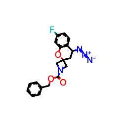 [N-]=[N+]=NC1CC2(CN(C(=O)OCc3ccccc3)C2)Oc2cc(F)ccc21